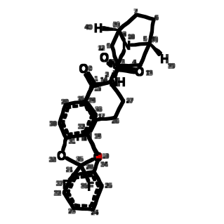 O=C(NC1C[C@H]2CC[C@@H](C1)N2S(=O)(=O)C1CCC(NCc2ccccc2)CC1)c1ccc2c(c1)OC(F)(F)O2